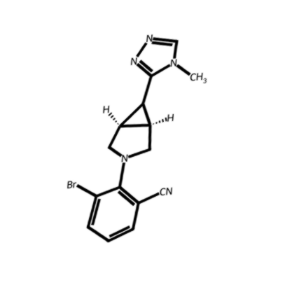 Cn1cnnc1C1[C@H]2CN(c3c(Br)cccc3C#N)C[C@@H]12